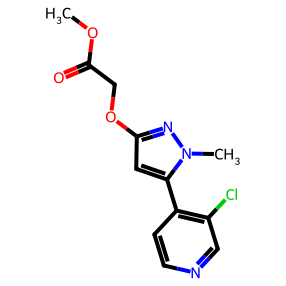 COC(=O)COc1cc(-c2ccncc2Cl)n(C)n1